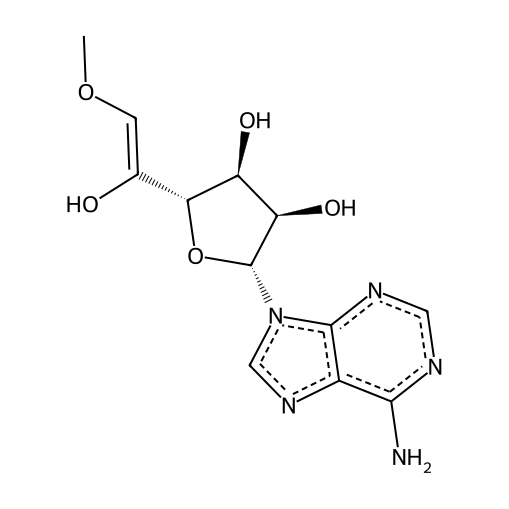 CO/C=C(\O)[C@H]1O[C@@H](n2cnc3c(N)ncnc32)[C@H](O)[C@@H]1O